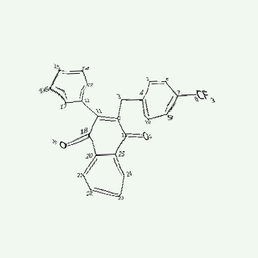 O=C1C(Cc2ccc(C(F)(F)F)cc2)=C(c2ccccc2)C(=O)c2ccccc21